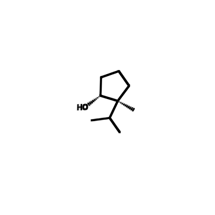 CC(C)[C@]1(C)CCC[C@H]1O